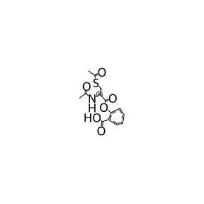 CC(=O)N[C@@H](CSC(C)=O)C(=O)Oc1ccccc1C(=O)O